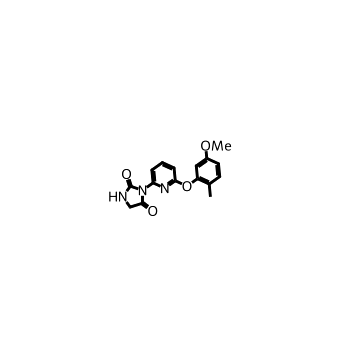 COc1ccc(C)c(Oc2cccc(N3C(=O)CNC3=O)n2)c1